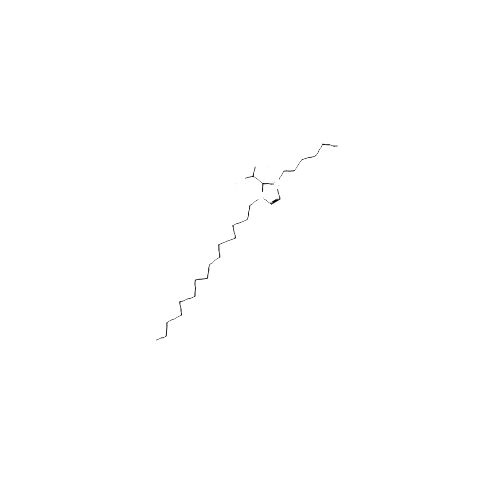 CCCCCCCCCCCCCCCN1C=CN(CCCCCC)C1C(C)C